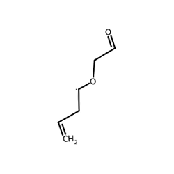 C=CC[CH]OCC=O